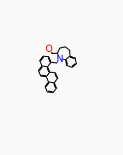 O=CC1CCCc2ccccc2N1Cc1cccc2ccc3c4ccccc4ccc3c12